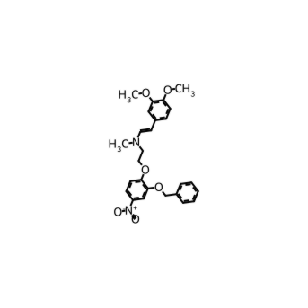 COc1ccc(C=CN(C)CCOc2ccc([N+](=O)[O-])cc2OCc2ccccc2)cc1OC